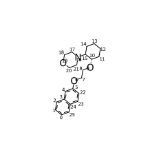 c1ccc2cc(OCCO[C@H]3CCCCC3N3CCOCC3)ccc2c1